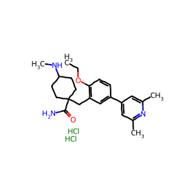 CCOc1ccc(-c2cc(C)nc(C)c2)cc1CC1(C(N)=O)CCC(NC)CC1.Cl.Cl